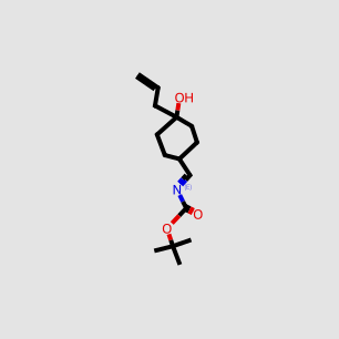 C=CCC1(O)CCC(/C=N/C(=O)OC(C)(C)C)CC1